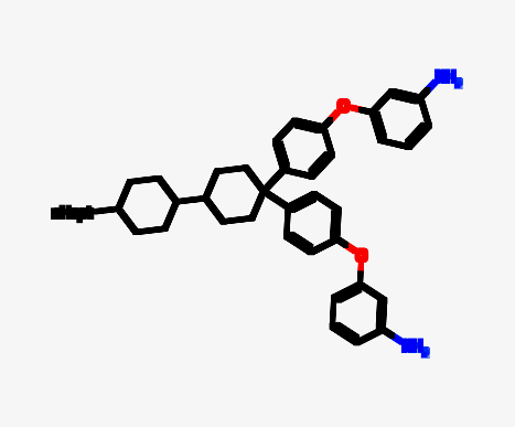 CCCCCCCC1CCC(C2CCC(c3ccc(Oc4cccc(N)c4)cc3)(c3ccc(Oc4cccc(N)c4)cc3)CC2)CC1